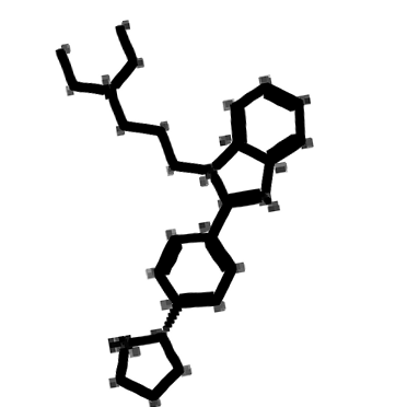 CCN(CC)CCCn1c(-c2ccc([C@@H]3CCCN3)cc2)nc2ccccc21